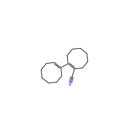 N#CC1=C(C2=CCCCCCC2)CCCCCC1